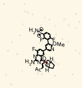 COc1ncc(-c2cc(F)c3nc(N)nc(N4C[C@H]5CC[C@@H](C4)N5C(=O)/C=C/C(C)=O)c3c2)cc1-c1c(F)ccc(S(N)(=O)=O)c1F